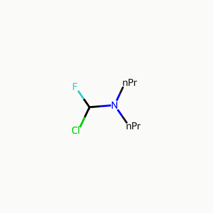 CCCN(CCC)[C](F)Cl